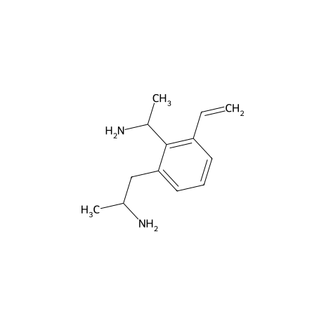 C=Cc1cccc(CC(C)N)c1C(C)N